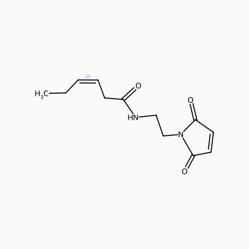 CC/C=C\CC(=O)NCCN1C(=O)C=CC1=O